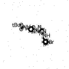 CC(C)(C)OC(=O)NC[C@H]1CC[C@H](CNc2nc(NCc3cccc(Br)c3)ncc2[N+](=O)[O-])CC1